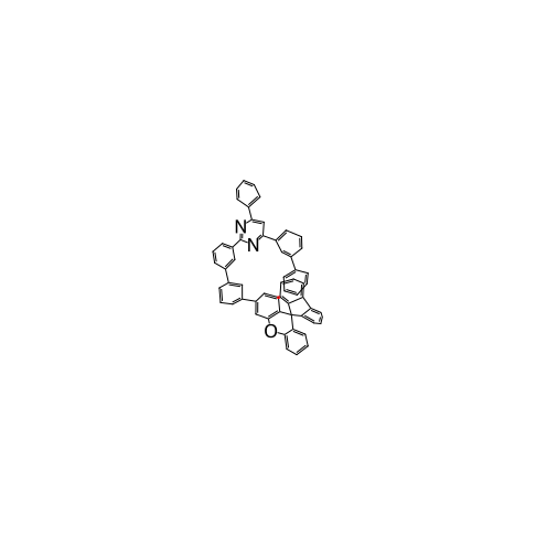 c1ccc(-c2cccc(-c3cc(-c4ccccc4)nc(-c4cccc(-c5cccc(-c6ccc7c(c6)Oc6ccccc6C76c7ccccc7-c7ccccc76)c5)c4)n3)c2)cc1